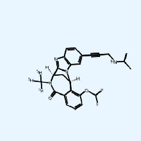 [2H]C([2H])([2H])N1C(=O)c2cccc(OC(F)F)c2[C@H]2C[C@@H]1c1nc3ccc(C#CCNC(C)C)cc3n12